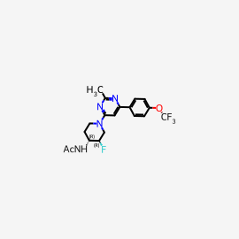 CC(=O)N[C@@H]1CCN(c2cc(-c3ccc(OC(F)(F)F)cc3)nc(C)n2)C[C@H]1F